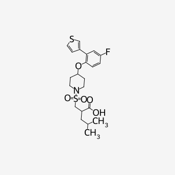 CC(C)CC(CS(=O)(=O)N1CCC(Oc2ccc(F)cc2-c2ccsc2)CC1)C(=O)O